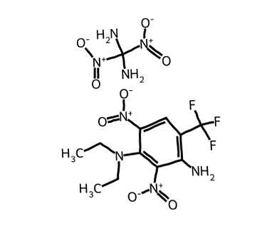 CCN(CC)c1c([N+](=O)[O-])cc(C(F)(F)F)c(N)c1[N+](=O)[O-].NC(N)([N+](=O)[O-])[N+](=O)[O-]